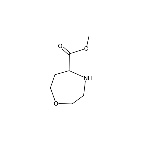 COC(=O)C1CCOCCN1